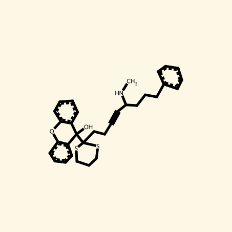 CNC(C#CCCC1(C2(O)c3ccccc3Oc3ccccc32)SCCCS1)CCCc1ccccc1